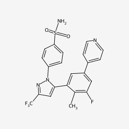 Cc1c(F)cc(-c2ccncc2)cc1-c1cc(C(F)(F)F)nn1-c1ccc(S(N)(=O)=O)cc1